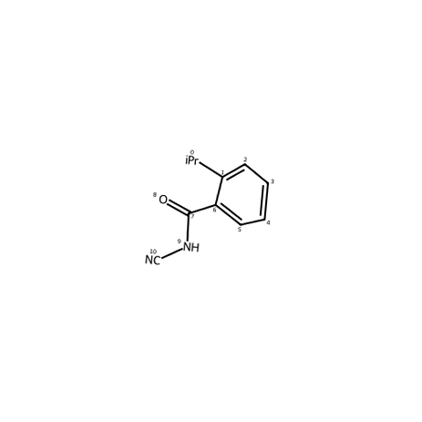 CC(C)c1ccccc1C(=O)NC#N